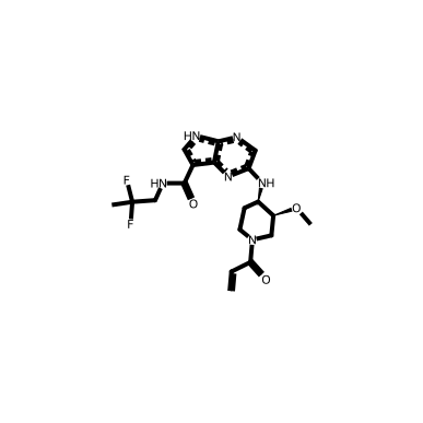 C=CC(=O)N1CC[C@@H](Nc2cnc3[nH]cc(C(=O)NCC(C)(F)F)c3n2)[C@@H](OC)C1